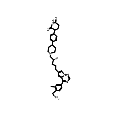 Cc1cc(-c2ncnn3cc(CCC[C@H](F)CN4CCC(c5ccc(C6CCC(=O)NC6=O)cc5)CC4)cc23)ccc1CN